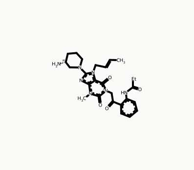 CC=CCn1c(N2CCC[C@@H](N)C2)nc2c1c(=O)n(CC(=O)c1ccccc1NC(=O)CC)c(=O)n2C